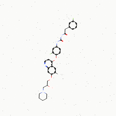 COc1cc2c(Oc3ccc(NC(=O)NC(=O)Cc4cccc(F)c4)cc3F)ccnc2cc1OCC(O)CN1CCCCC1